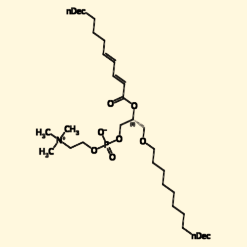 CCCCCCCCCCCCCC=CC=CC(=O)O[C@H](COCCCCCCCCCCCCCCCCCC)COP(=O)([O-])OCC[N+](C)(C)C